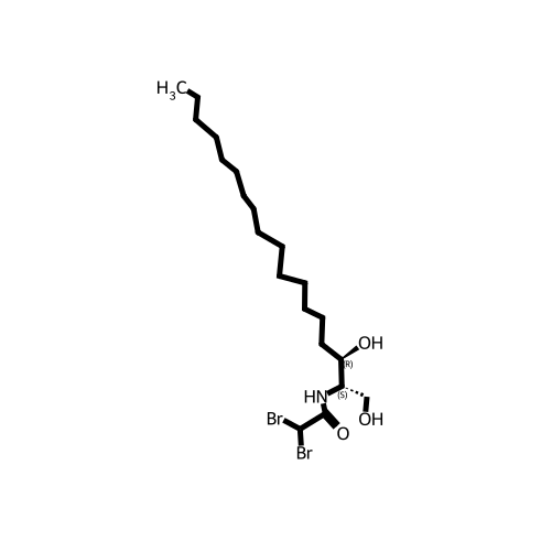 CCCCCCCCCCCCCCC[C@@H](O)[C@H](CO)NC(=O)C(Br)Br